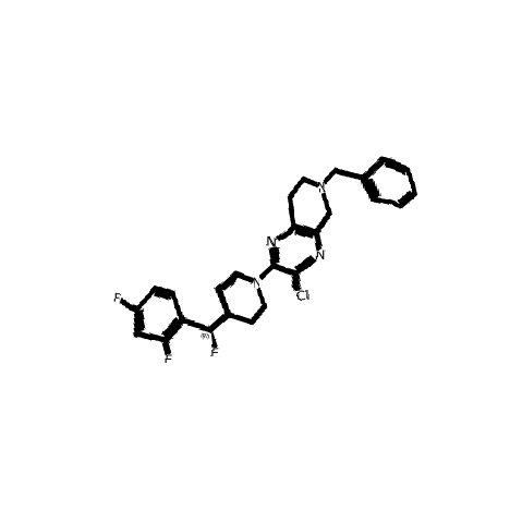 Fc1ccc([C@H](F)C2CCN(c3nc4c(nc3Cl)CN(Cc3ccccc3)CC4)CC2)c(F)c1